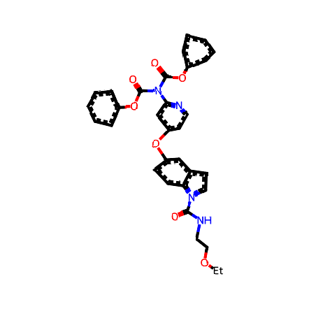 CCOCCNC(=O)n1ccc2cc(Oc3ccnc(N(C(=O)Oc4ccccc4)C(=O)Oc4ccccc4)c3)ccc21